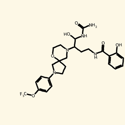 NC(=O)NC(O)C(CCNC(=O)c1ccccc1O)N1CCOC2(CCN(c3ccc(OC(F)(F)F)cc3)C2)C1